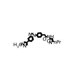 CCCc1cc(NC(=O)Cc2ccc(-n3cnc4cc(-c5cnn(C)c5)ccc43)cc2)on1